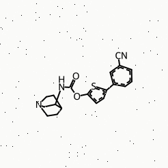 N#Cc1cccc(-c2ccc(OC(=O)NC3CN4CCC3CC4)s2)c1